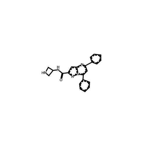 O=C(NC1CNC1)c1cc2nc(-c3ccccc3)cc(-c3ccccc3)n2n1